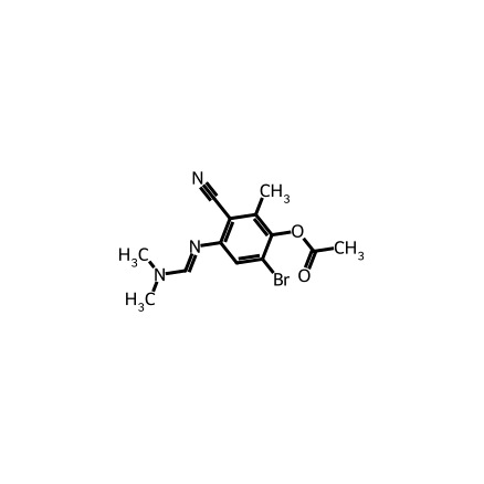 CC(=O)Oc1c(Br)cc(N=CN(C)C)c(C#N)c1C